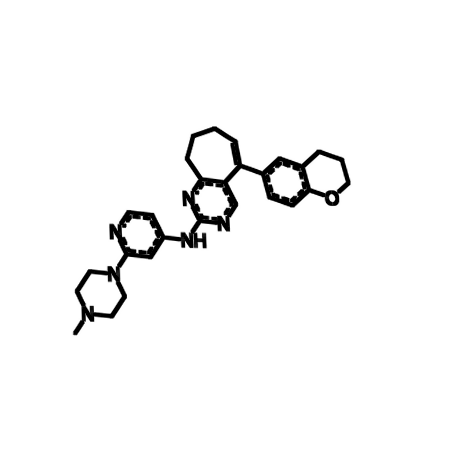 CN1CCN(c2cc(Nc3ncc4c(n3)CCCC=C4c3ccc4c(c3)CCCO4)ccn2)CC1